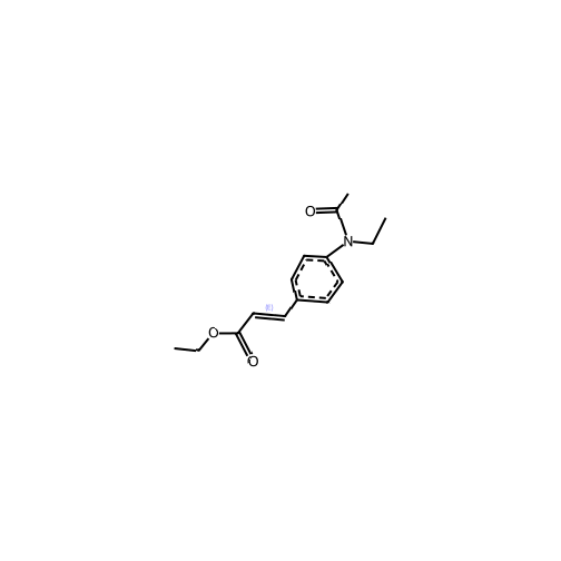 CCOC(=O)/C=C/c1ccc(N(CC)C(C)=O)cc1